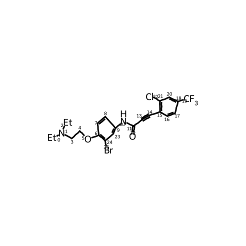 CCN(CC)CCOc1ccc(NC(=O)C#Cc2ccc(C(F)(F)F)cc2Cl)cc1Br